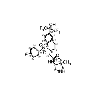 C[C@]1(O)CNC[C@H]1NC(=O)C[C@@H]1CCc2cc(C(O)(C(F)(F)F)C(F)(F)F)ccc2N1S(=O)(=O)c1ccc(F)cc1